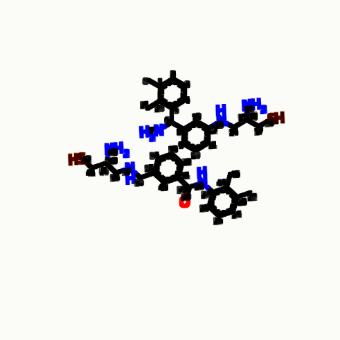 Cc1cccc(C(N)c2cccc(NC[C@@H](N)CS)c2)c1C.Cc1cccc(NC(=O)c2cccc(CNC[C@@H](N)CS)c2)c1C